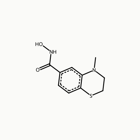 CN1CCSc2ccc(C(=O)NO)cc21